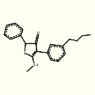 CCCCc1cccc(C2=C(NC)SC(c3ccccc3)C2=O)c1